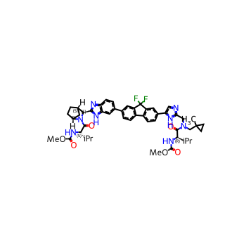 COC(=O)N[C@H](C(=O)N1[C@@H]2CC[C@@H](C2)[C@H]1c1nc2ccc(-c3ccc4c(c3)C(F)(F)c3cc(-c5cnc(CN(CC6(C)CC6)C(=O)[C@H](NC(=O)OC)C(C)C)[nH]5)ccc3-4)cc2[nH]1)C(C)C